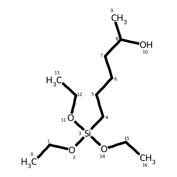 CCO[Si](CCCCC(C)O)(OCC)OCC